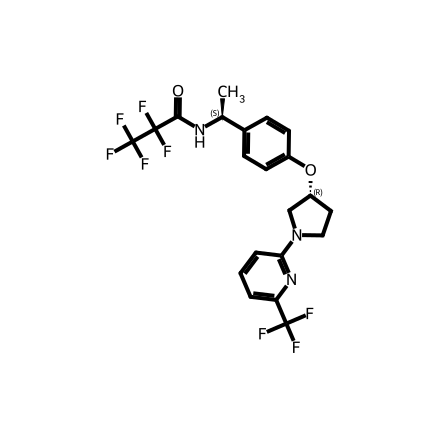 C[C@H](NC(=O)C(F)(F)C(F)(F)F)c1ccc(O[C@@H]2CCN(c3cccc(C(F)(F)F)n3)C2)cc1